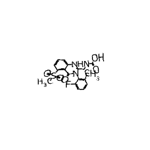 CC(NC(=O)O)c1nc2cccc(S(C)(=O)=O)c2c(=O)n1-c1c(F)cccc1F